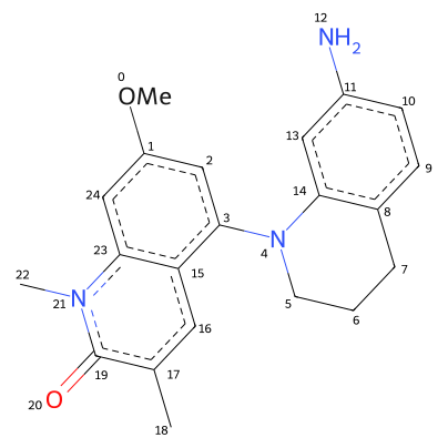 COc1cc(N2CCCc3ccc(N)cc32)c2cc(C)c(=O)n(C)c2c1